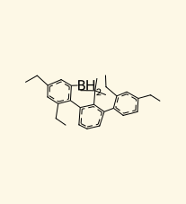 Bc1cc(CC)cc(CC)c1-c1cccc(-c2ccc(CC)cc2CC)c1C(C)(C)C